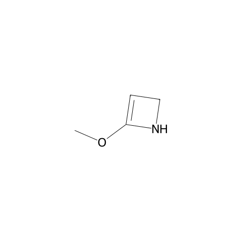 COC1=CCN1